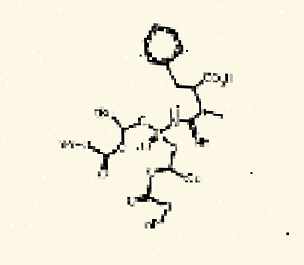 CCCOC(=O)OC(OP(=O)(NC(=N)N(C)C(Cc1ccccc1)C(=O)O)OC(OC(=O)OCCC)C(C)(C)C)C(C)(C)C